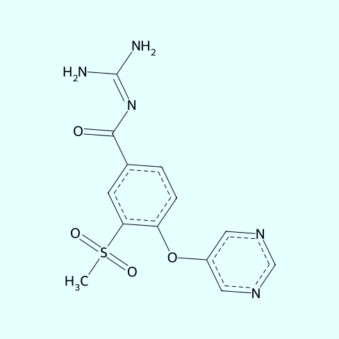 CS(=O)(=O)c1cc(C(=O)N=C(N)N)ccc1Oc1cncnc1